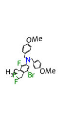 COc1ccc(CN(Cc2ccc(OC)cc2)c2cc(Br)c(CC(F)F)c(C)c2F)cc1